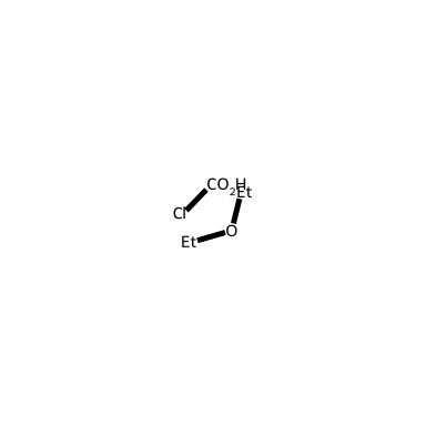 CCOCC.O=C(O)Cl